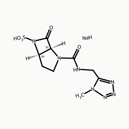 Cn1nnnc1CNC(=O)N1CC[C@@H]2[C@H]1C(=O)N2S(=O)(=O)O.[NaH]